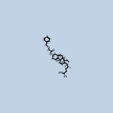 CC[C@H](CC[C@@H](C)[C@H]1CC[C@H]2[C@@H]3CC=C4C[C@@H](OC(=O)COCc5ccccc5)CC[C@]4(C)[C@H]3CC[C@]12C)C(C)C